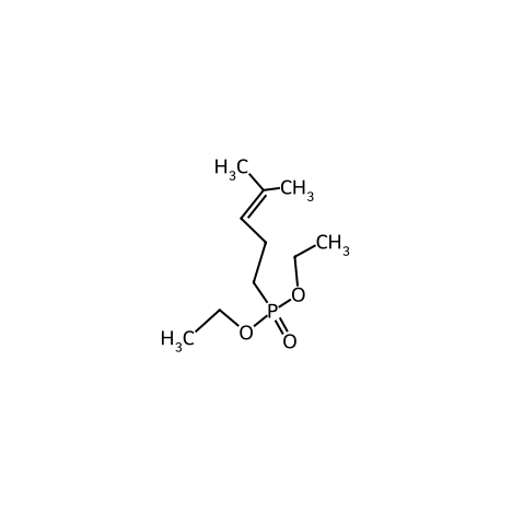 CCOP(=O)(CCC=C(C)C)OCC